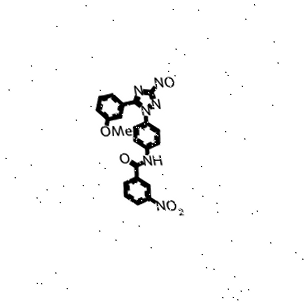 COc1cccc(-c2nc(N=O)nn2-c2ccc(NC(=O)c3cccc([N+](=O)[O-])c3)cc2)c1